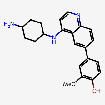 COc1cc(-c2ccc3nc[c]c(NC4CCC(N)CC4)c3c2)ccc1O